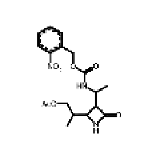 CC(=O)OCC(C)C1NC(=O)C1C(C)NC(=O)OCc1ccccc1[N+](=O)[O-]